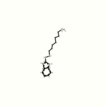 CCCCCCCCSSc1nc2ccccc2s1